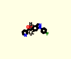 CC1=Cc2c(cnn2-c2ccc(F)cc2)C[C@]1(C)CC(O)c1cccnc1